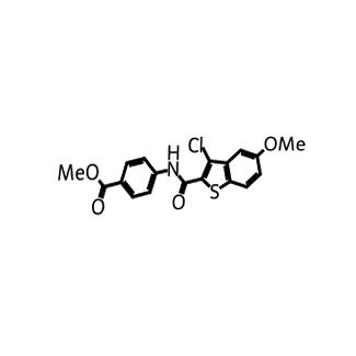 COC(=O)c1ccc(NC(=O)c2sc3ccc(OC)cc3c2Cl)cc1